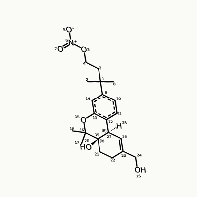 CC(C)(CCO[N+](=O)[O-])c1ccc2c(c1)OC(C)(C)[C@@]1(O)CCC(CO)=C[C@H]21